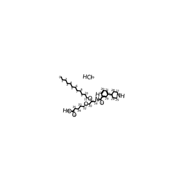 CCCCCCCCCCCCOC(CNC(=O)c1cccc(C2CCNCC2)c1)COCCCCC(=O)O.Cl